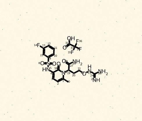 Cc1ccc(NS(=O)(=O)c2cccc(F)c2)c(=O)n1C(CCONC(=N)N)C(N)=O.O=C(O)C(F)(F)F